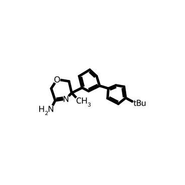 CC(C)(C)c1ccc(-c2cccc(C3(C)COCC(N)=N3)c2)cc1